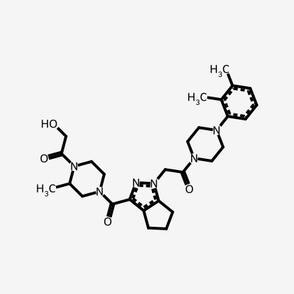 Cc1cccc(N2CCN(C(=O)Cn3nc(C(=O)N4CCN(C(=O)CO)C(C)C4)c4c3CCC4)CC2)c1C